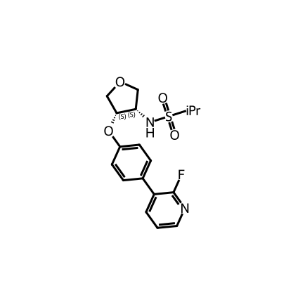 CC(C)S(=O)(=O)N[C@H]1COC[C@H]1Oc1ccc(-c2cccnc2F)cc1